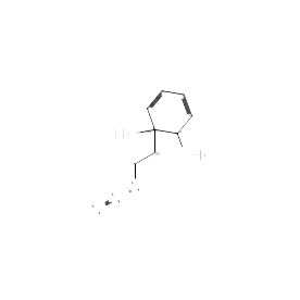 [N-]=[N+]=NCCC1(O)C=CC=CC1C=O